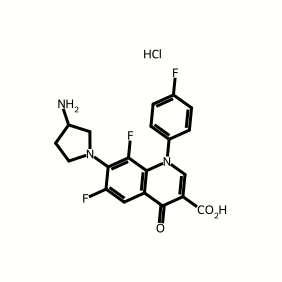 Cl.NC1CCN(c2c(F)cc3c(=O)c(C(=O)O)cn(-c4ccc(F)cc4)c3c2F)C1